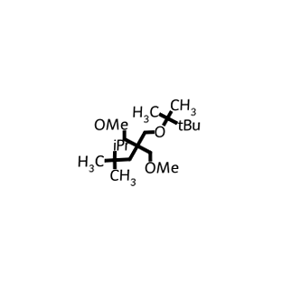 COCC(COC)(COC(C)(C)C(C)(C)C)CC(C)(C)C(C)C